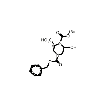 CC(C)(C)OC(=O)N1C(O)CN(C(=O)OCc2ccccc2)C[C@H]1C(=O)O